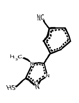 Cn1c(S)nnc1-c1cccc(C#N)c1